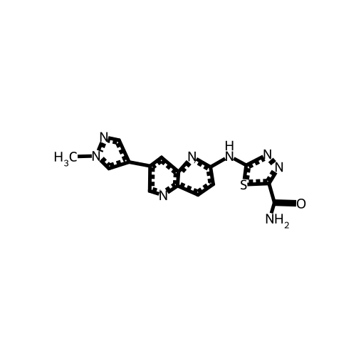 Cn1cc(-c2cnc3ccc(Nc4nnc(C(N)=O)s4)nc3c2)cn1